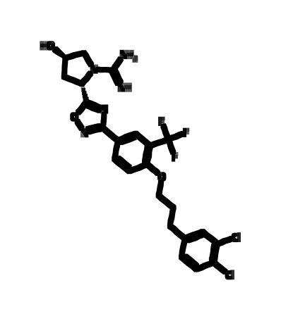 N=C(N)N1C[C@H](O)C[C@H]1c1nc(-c2ccc(OCCCc3ccc(Cl)c(Cl)c3)c(C(F)(F)F)c2)no1